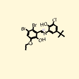 CCOc1cc(Br)c(Br)c(/C=N/c2cc(C(C)(C)C)cc(Cl)c2O)c1O